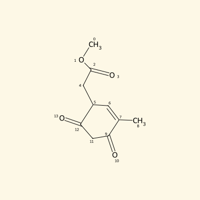 COC(=O)CC1C=C(C)C(=O)CC1=O